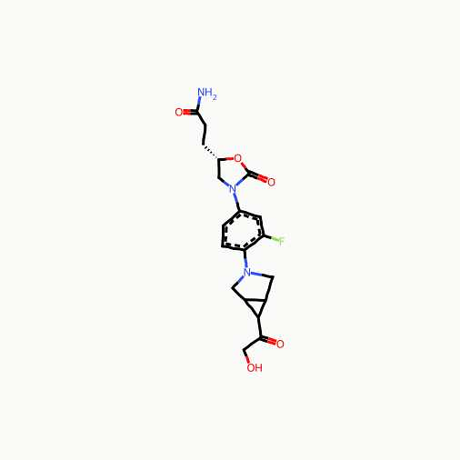 NC(=O)CC[C@H]1CN(c2ccc(N3CC4C(C3)C4C(=O)CO)c(F)c2)C(=O)O1